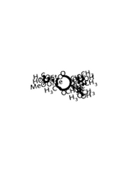 CC[C@H]1OC(=O)CC[C@H](C)C(SO[C@@H]2O[C@H](C)[C@@H](O)C(N(C)C)C2O)[C@@H](CCn2cc(C(C)(C)O)nn2)C[C@@H](C)C(=O)/C=C/C(C)=C/[C@@H]1CO[C@@H]1OC(C)[C@@H](O)[C@H](OC)C1OC